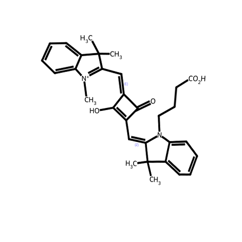 C[N+]1=C(/C=C2/C(=O)C(/C=C3\N(CCCC(=O)O)c4ccccc4C3(C)C)=C2O)C(C)(C)c2ccccc21